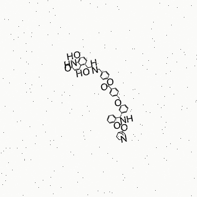 O=C(NC(c1ccccc1)c1cccc(OCc2ccc(C(=O)Oc3ccc(CNCC(O)c4ccc(O)c5[nH]c(=O)ccc45)cc3)cc2)c1)OC1CN2CCC1CC2